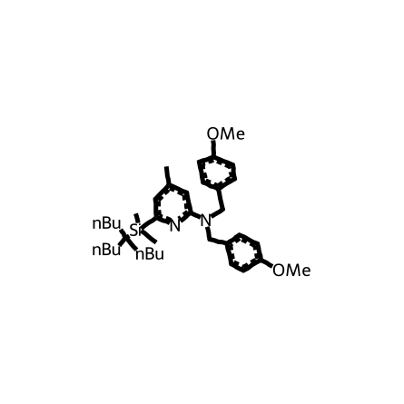 CCCCC(CCCC)(CCCC)[Si](C)(C)c1cc(C)cc(N(Cc2ccc(OC)cc2)Cc2ccc(OC)cc2)n1